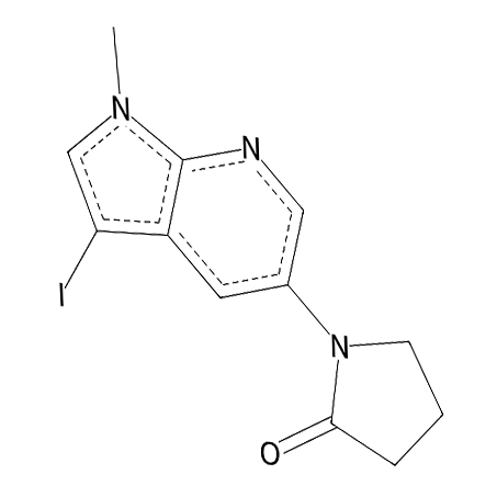 Cn1cc(I)c2cc(N3CCCC3=O)cnc21